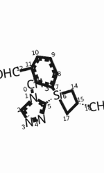 Cn1cnnc1[Si@]1(c2cccc(C=O)c2)C[C@H](C)C1